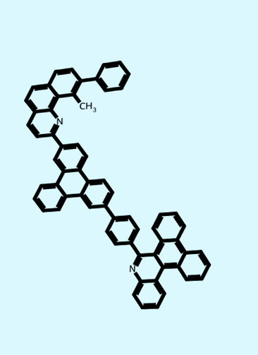 Cc1c(-c2ccccc2)ccc2ccc3ccc(-c4ccc5c6ccc(-c7ccc(-c8nc9ccccc9c9c%10ccccc%10c%10ccccc%10c89)cc7)cc6c6ccccc6c5c4)nc3c12